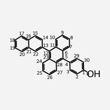 Oc1ccc(-c2c3ccccc3c(-c3ccc4ccccc4c3)c3ccccc23)cc1